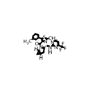 Cc1cccc(-c2sc(C)nc2C(=O)N2[C@H](CNc3nccc(C(F)(F)F)n3)C[C@@H]3C[C@@H]32)c1